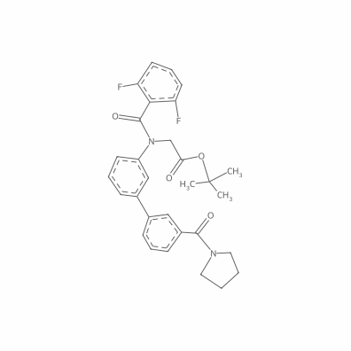 CC(C)(C)OC(=O)CN(C(=O)c1c(F)cccc1F)c1cccc(-c2cccc(C(=O)N3CCCC3)c2)c1